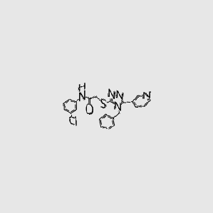 O=C(CSc1nnc(-c2cccnc2)n1Cc1ccccc1)Nc1cccc(Cl)c1